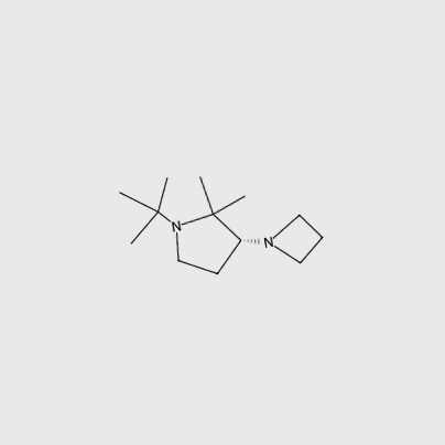 CC(C)(C)N1CC[C@@H](N2CCC2)C1(C)C